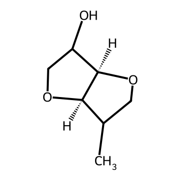 CC1CO[C@@H]2C(O)CO[C@H]12